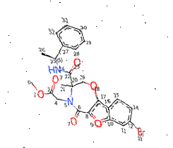 COC(=O)CN1C(=O)c2oc3cc(Br)ccc3c2OCC1(C)C(=O)N[C@@H](C)c1ccccc1